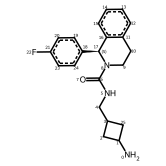 NC1CC(CNC(=O)N2CCc3ccccc3[C@@H]2c2ccc(F)cc2)C1